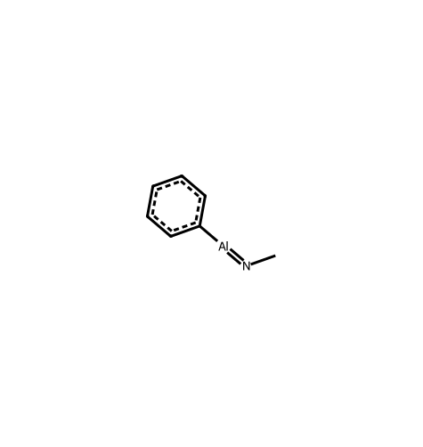 C/[N]=[Al]\[c]1ccccc1